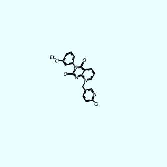 CCOc1cccc(-n2c(=O)nc3n(Cc4ccc(Cl)nc4)cccc-3c2=O)c1